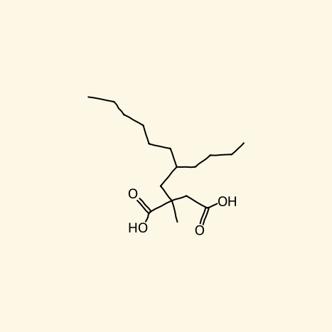 CCCCCCC(CCCC)CC(C)(CC(=O)O)C(=O)O